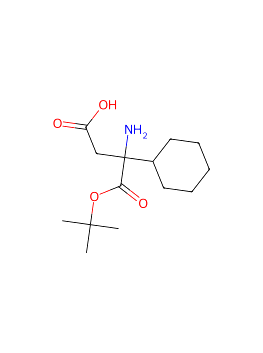 CC(C)(C)OC(=O)C(N)(CC(=O)O)C1CCCCC1